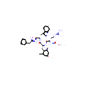 Cc1cc(O)cc(C)c1C[C@H](NC(=O)[C@@H](CCNC(=N)N)NC(=O)OC(C)(C)C)C(=O)N[C@@H](Cc1c[nH]c2ccccc12)c1nc(Cc2ccccc2)no1